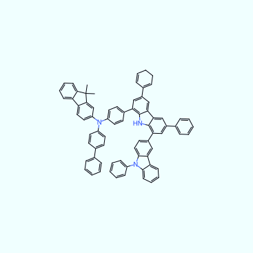 CC1(C)c2ccccc2-c2ccc(N(c3ccc(-c4ccccc4)cc3)c3ccc(-c4cc(C5=CCCC=C5)cc5c4[nH]c4c(-c6ccc7c(c6)c6ccccc6n7-c6ccccc6)cc(-c6ccccc6)cc45)cc3)cc21